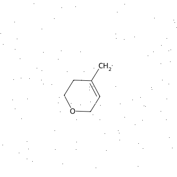 [CH2]C1=CCOCC1